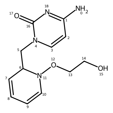 Nc1ccn(CC2C=CC=CN2OCCO)c(=O)n1